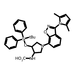 Cc1ccc(C)n1-c1noc2c(N3CC(NC(=O)O)C(O[Si](c4ccccc4)(c4ccccc4)C(C)(C)C)C3)cccc12